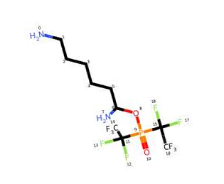 NCCCCCC(N)OP(=O)(C(F)(F)C(F)(F)F)C(F)(F)C(F)(F)F